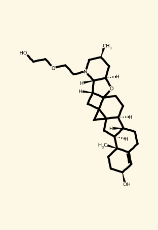 C[C@H]1C[C@H]2OC34CC[C@H]5[C@@H]6CCC7=C[C@@H](O)CC[C@]7(C)[C@H]6CC56CC63C[C@@H]4[C@@H]2N(CCOCCO)C1